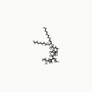 CCCCCCCCOCC(COCCCCCCCC)OC(=O)C1C=CS[C@H]2C(NC(=O)C(=NOC)c3csc(NC=O)n3)C(=O)N12